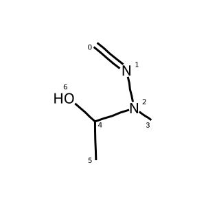 C=NN(C)C(C)O